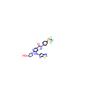 O=C(Nc1ccc(OC(F)(F)Cl)cc1)c1cnc(N2CC[C@@H](O)C2)c(NC2=CC3=NCSC3=N2)c1